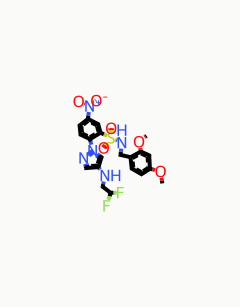 COc1ccc(CNS(=O)(=O)c2cc([N+](=O)[O-])ccc2-n2cc(NCC(F)F)cn2)c(OC)c1